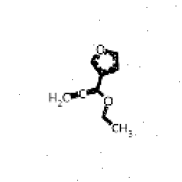 C=C=C(OCC)c1ccoc1